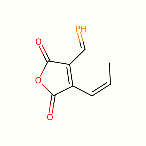 C/C=C\C1=C(C=P)C(=O)OC1=O